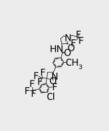 Cc1cc(C2=NOC(c3cc(C(F)(F)F)cc(Cl)c3F)(C(F)(F)F)C2)ccc1C(=O)N[C@@H]1CCN(CC(F)(F)F)C1=O